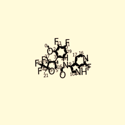 COc1c([C@H]2[C@H](C(=O)Nc3c[nH]c4c(F)nccc34)O[C@@](C)(C(F)(F)F)[C@H]2C)ccc(F)c1F